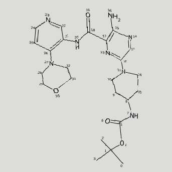 CC(C)(C)OC(=O)NC1CCN(c2cnc(N)c(C(=O)Nc3cnccc3N3CCOCC3)n2)CC1